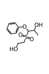 CC(O)C(Oc1ccccc1)S(=O)(=O)CCO